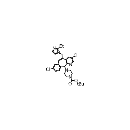 CCc1nccn1CC1=Cc2cc(Cl)ccc2C(N2CCN(C(=O)OC(C)(C)C)CC2)c2ncc(Cl)cc21